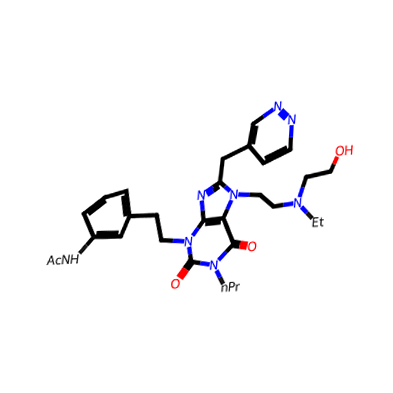 CCCn1c(=O)c2c(nc(Cc3ccnnc3)n2CCN(CC)CCO)n(CCc2cccc(NC(C)=O)c2)c1=O